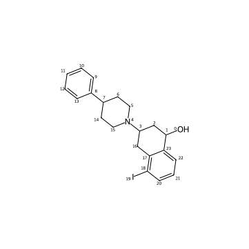 OC1CC(N2CCC(c3ccccc3)CC2)Cc2c(I)cccc21